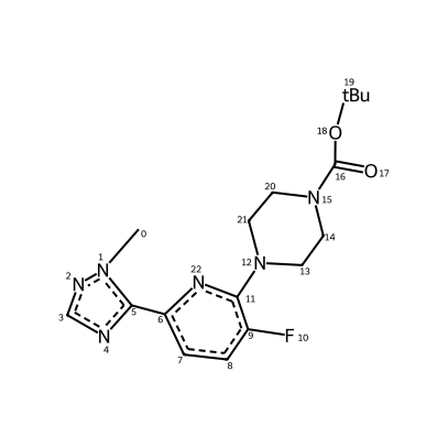 Cn1ncnc1-c1ccc(F)c(N2CCN(C(=O)OC(C)(C)C)CC2)n1